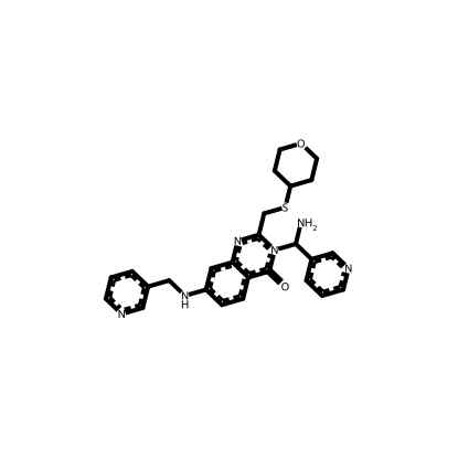 NC(c1cccnc1)n1c(CSC2CCOCC2)nc2cc(NCc3cccnc3)ccc2c1=O